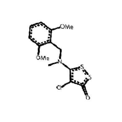 COc1cccc(OC)c1CN(C)c1ssc(=O)c1Cl